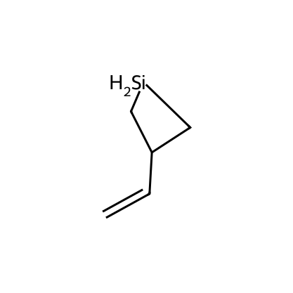 C=CC1C[SiH2]C1